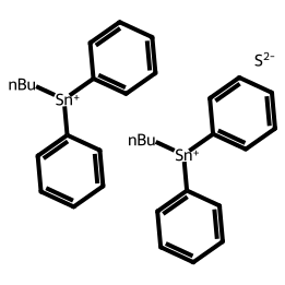 CCC[CH2][Sn+]([c]1ccccc1)[c]1ccccc1.CCC[CH2][Sn+]([c]1ccccc1)[c]1ccccc1.[S-2]